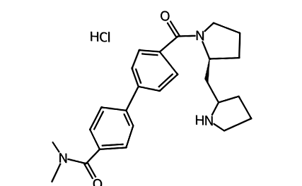 CN(C)C(=O)c1ccc(-c2ccc(C(=O)N3CCC[C@H]3CC3CCCN3)cc2)cc1.Cl